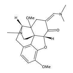 COc1ccc2c3c1O[C@H]1C(=O)C(=CN(C)C)CC4(OC)[C@@H](C2)N(C)CC[C@]314